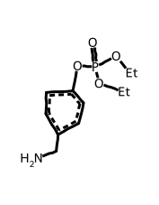 CCOP(=O)(OCC)Oc1ccc(CN)cc1